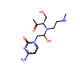 CNCCN(C(O)Cn1ccc(N)nc1=O)[C@H](CO)C(C)=O